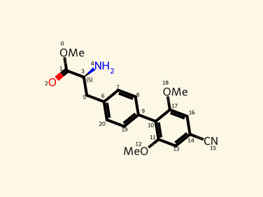 COC(=O)[C@@H](N)Cc1ccc(-c2c(OC)cc(C#N)cc2OC)cc1